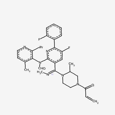 C=CC(=O)N1CCN(/C(=N/C)c2cc(F)c(-c3ccccc3F)nc2N(C=O)c2c(C)ccnc2C(C)C)C(C)C1